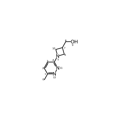 Cc1ccc(N2CC(CO)C2)nn1